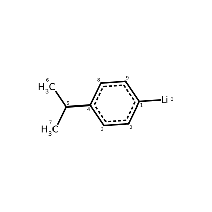 [Li][c]1ccc(C(C)C)cc1